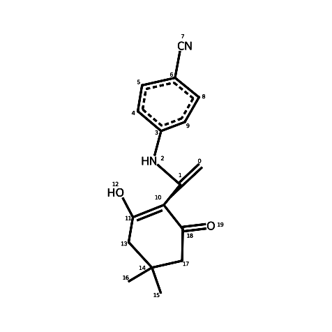 C=C(Nc1ccc(C#N)cc1)C1=C(O)CC(C)(C)CC1=O